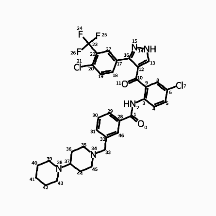 O=C(Nc1ccc(Cl)cc1C(=O)c1c[nH]nc1-c1ccc(Cl)c(C(F)(F)F)c1)c1cccc(CN2CCC(N3CCCCC3)CC2)c1